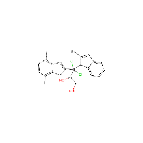 Cc1ccc(C)c2c1C=[C]([Hf]([Cl])([Cl])([CH](O)CO)[CH]1C(C(C)C)=Cc3ccccc31)C2